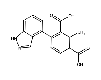 Cc1c(C(=O)O)ccc(-c2cccc3[nH]ncc23)c1C(=O)O